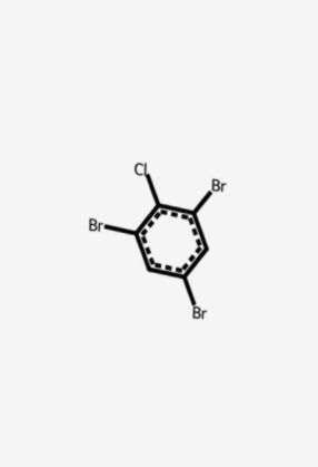 Clc1c(Br)cc(Br)cc1Br